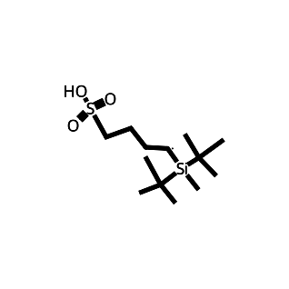 CC(C)(C)[Si](C)([CH]CCCS(=O)(=O)O)C(C)(C)C